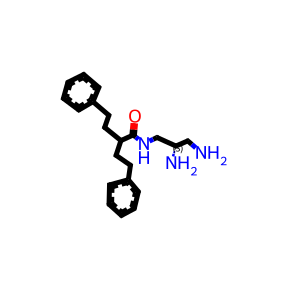 NC[C@H](N)CNC(=O)C(CCc1ccccc1)CCc1ccccc1